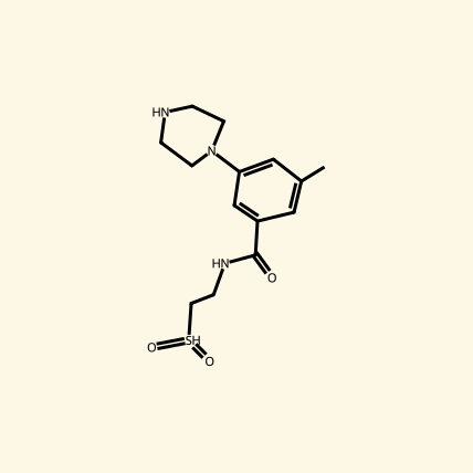 Cc1cc(C(=O)NCC[SH](=O)=O)cc(N2CCNCC2)c1